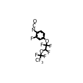 O=C=Nc1ccc(OC(F)(F)C(F)OC(F)(F)C(F)(F)F)cc1F